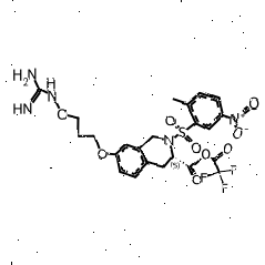 Cc1ccc([N+](=O)[O-])cc1S(=O)(=O)N1Cc2cc(OCCCONC(=N)N)ccc2C[C@H]1C(=O)OC(=O)C(F)(F)F